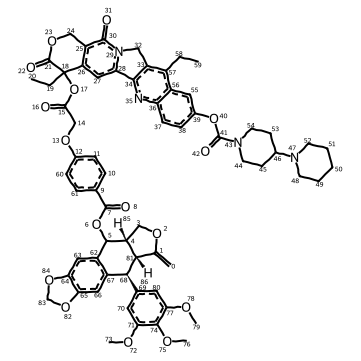 C=C1OC[C@H]2C(OC(=O)c3ccc(OCC(=O)OC4(CC)C(=O)OCc5c4cc4n(c5=O)Cc5c-4nc4ccc(OC(=O)N6CCC(N7CCCCC7)CC6)cc4c5CC)cc3)c3cc4c(cc3[C@H](c3cc(OC)c(OC)c(OC)c3)[C@@H]12)OCO4